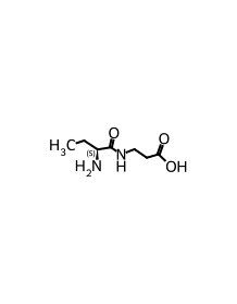 CC[C@H](N)C(=O)NCCC(=O)O